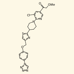 COCC(=O)c1cnc(N2CCC(c3nc(COc4ccc(-n5cnnn5)cc4)cs3)CC2)c(Cl)c1